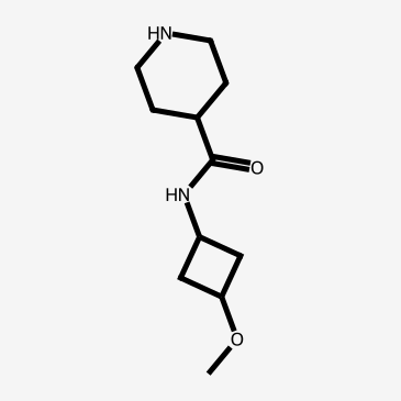 COC1CC(NC(=O)C2CCNCC2)C1